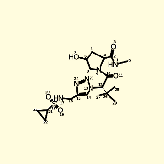 CNC(=O)C1CC(O)CN1C(=O)[C@@H](n1cc(CNS(=O)(=O)C2CC2)nn1)C(C)(C)C